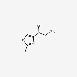 Cc1nc(C(O)CN)co1